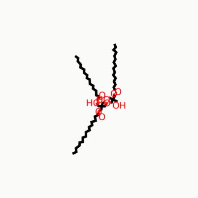 CCCCCCCCCCCCCCCC(=O)OCC(CO)(CO)COCC(CO)(COC(=O)CCCCCCCCCCCCCCC)COC(=O)CCCCCCCCCCCCCCC